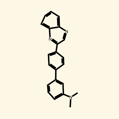 CN(C)c1cccc(-c2ccc(-c3cnc4ccccc4n3)cc2)c1